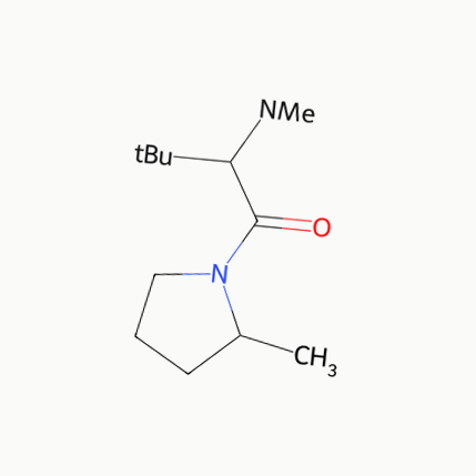 CNC(C(=O)N1CCCC1C)C(C)(C)C